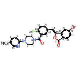 N#Cc1ccc(N2CCN(C(=O)c3cc(C=C4OC(=O)c5ccc(Br)cc54)ccc3F)CC2)nc1